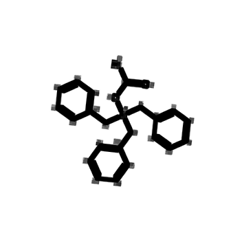 [CH2]CC(=O)O[Si](Cc1ccccc1)(Cc1ccccc1)Cc1ccccc1